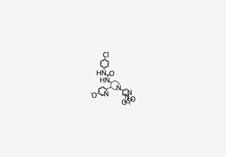 COc1ccc(C2CN(c3cnn(S(C)(=O)=O)c3)CCC2NC(=O)Nc2ccc(Cl)cc2)nc1